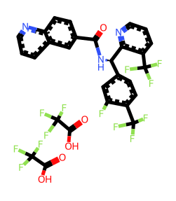 O=C(N[C@@H](c1ccc(C(F)(F)F)c(F)c1)c1ncccc1C(F)(F)F)c1ccc2ncccc2c1.O=C(O)C(F)(F)F.O=C(O)C(F)(F)F